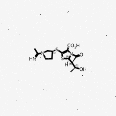 CC(=N)N1CC[C@H](SC2=C(C(=O)O)N3C(=O)[C@@H]([C@H](C)O)[C@H]3S2)C1